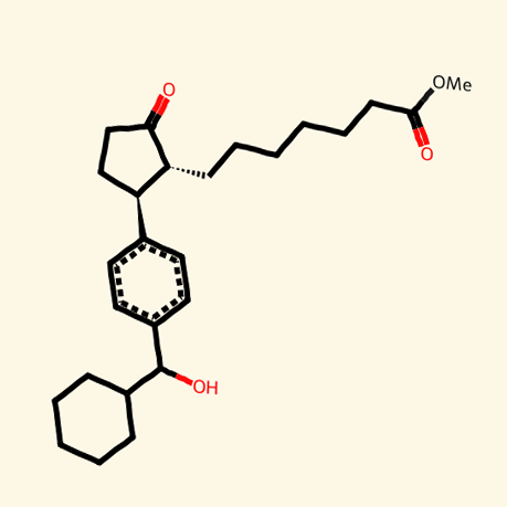 COC(=O)CCCCCC[C@H]1C(=O)CC[C@@H]1c1ccc(C(O)C2CCCCC2)cc1